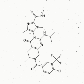 CNC(=O)c1nc(C)c(-n2c(NC(C)C)nc3c(c2=O)C[C@@H](C)N(C(=O)c2ccc(Cl)c(C(F)(F)F)c2)C3)n1C